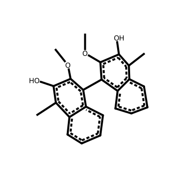 COc1c(O)c(C)c2ccccc2c1-c1c(OC)c(O)c(C)c2ccccc12